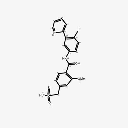 COc1cc(CS(C)(=O)=O)ccc1C(=O)Nc1ccc(I)c(-c2ccccn2)c1